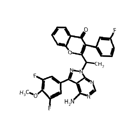 COc1c(F)cc(-c2nn(C(C)c3oc4ccccc4c(=O)c3-c3cccc(F)c3)c3ncnc(N)c23)cc1F